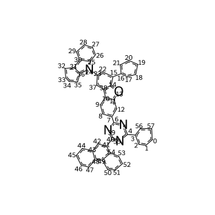 c1ccc(-c2nc(-c3ccc4c(c3)oc3c(-c5ccccc5)cc(-n5c6ccccc6c6ccccc65)cc34)nc(-c3cc4ccccc4c4ccccc34)n2)cc1